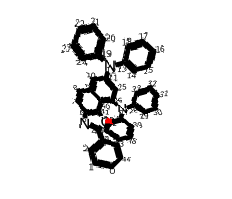 c1ccc(-c2nc3ccc4cc(N(c5ccccc5)c5ccccc5)cc(N(c5ccccc5)c5ccccc5)c4c3o2)cc1